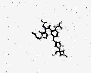 C=C/C=C\n1ncc(/C(=C/N(C)C)C(=C)c2cc(Cc3cnn(C4(CC#N)CN(C)C4)c3)ccc2NC(C)F)c1C